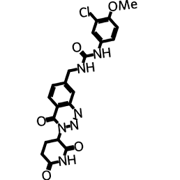 COc1ccc(NC(=O)NCc2ccc3c(=O)n(C4CCC(=O)NC4=O)nnc3c2)cc1Cl